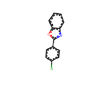 Clc1ccc(-c2nc3[c]cccc3o2)cc1